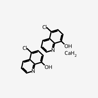 Oc1ccc(Cl)c2cccnc12.Oc1ccc(Cl)c2cccnc12.[CaH2]